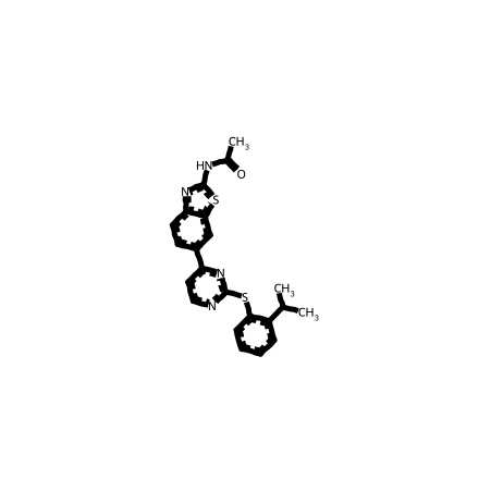 CC(=O)Nc1nc2ccc(-c3ccnc(Sc4ccccc4C(C)C)n3)cc2s1